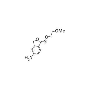 COCCO/N=C1\OCc2cc(N)ccc21